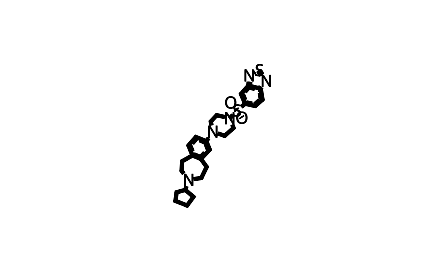 O=S(=O)(c1ccc2nsnc2c1)N1CCN(c2ccc3c(c2)CCN(C2CCCC2)CC3)CC1